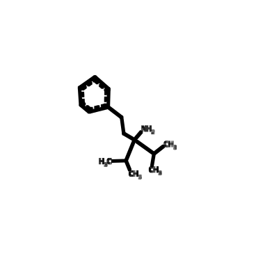 CC(C)C(N)(CCc1ccccc1)C(C)C